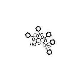 O=C(O[C@@H]1[C@H](OC(=O)c2ccccc2)[C@@H](O)O[C@H](COP(=O)(Cc2ccccc2)Cc2ccccc2)[C@H]1OC(=O)c1ccccc1)c1ccccc1